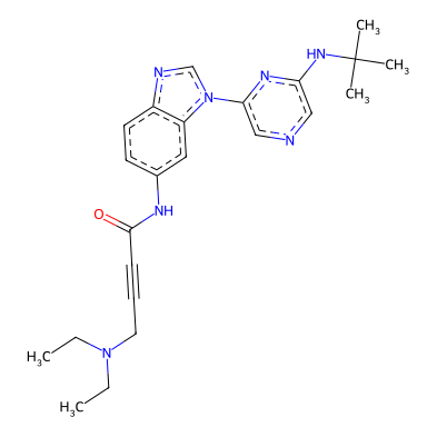 CCN(CC)CC#CC(=O)Nc1ccc2ncn(-c3cncc(NC(C)(C)C)n3)c2c1